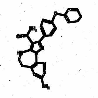 NC(=O)c1c(-c2ccc(OC3=CCCC=C3)cc2)nn2c1NCCc1cc(N)ccc1-2